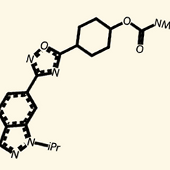 CNC(=O)OC1CCC(c2nc(-c3ccc4cnn(C(C)C)c4c3)no2)CC1